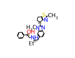 CC[C@@H](Cc1ccc2nc([C@H]3CCc4sc(C)nc43)n(C)c2c1)NC[C@H](O)c1ccccc1